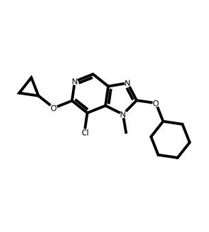 Cn1c(OC2CCCCC2)nc2cnc(OC3CC3)c(Cl)c21